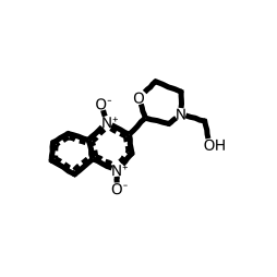 [O-][n+]1cc(C2CN(CO)CCO2)[n+]([O-])c2ccccc21